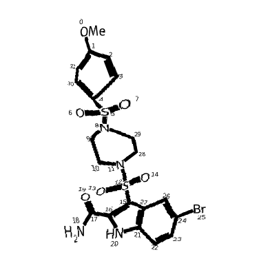 COc1ccc(S(=O)(=O)N2CCN(S(=O)(=O)c3c(C(N)=O)[nH]c4ccc(Br)cc34)CC2)cc1